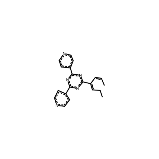 C/C=C\C(=C/CC)c1nc(-c2ccncc2)nc(-c2ccncc2)n1